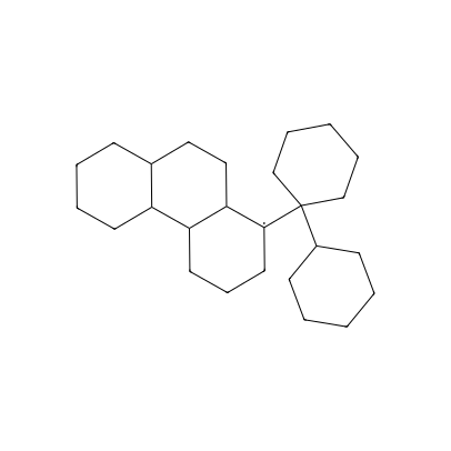 C1CCC(C2([C]3CCCC4C3CCC3CCCCC34)CCCCC2)CC1